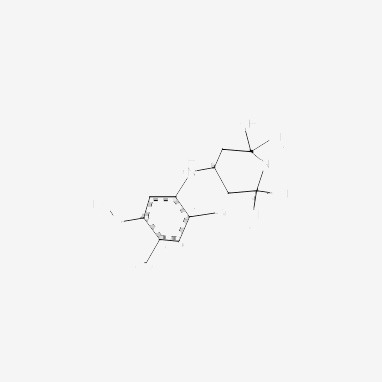 COc1cc(NC2CC(C)(C)NC(C)(C)C2)c(Br)cc1Cl